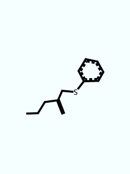 C=C(CCC)CSc1ccccc1